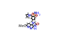 COc1ccc2c3c(cnc2n1)NC(=O)CN3Cc1ccc(S(N)(=O)=O)c(Cn2cccc2)c1